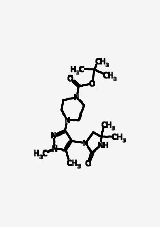 Cc1c(N2CC(C)(C)NC2=O)c(N2CCN(C(=O)OC(C)(C)C)CC2)nn1C